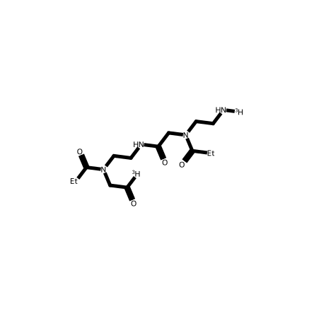 [3H]NCCN(CC(=O)NCCN(CC([3H])=O)C(=O)CC)C(=O)CC